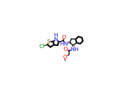 COCC(=O)N[C@H]1c2ccccc2C[C@H]1NC(=O)c1cc2cc(Cl)sc2[nH]1